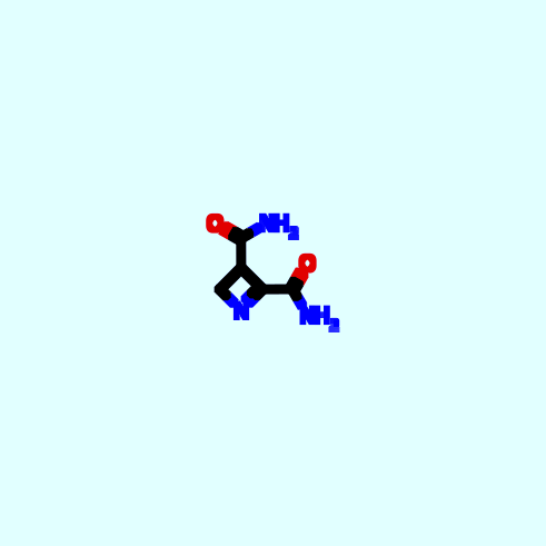 NC(=O)C1=NCC1C(N)=O